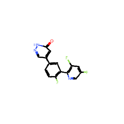 O=c1cc(-c2ccc(F)c(-c3ncc(F)cc3F)c2)cn[nH]1